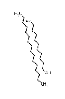 CCCCCCCCCCCCCCCC.CCCCCCCCCCCCCCCCCCCCO